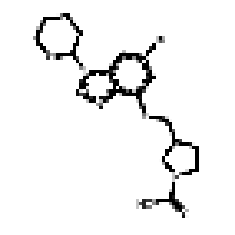 O=C(O)N1CCC(COc2cc(Br)cc3c2nnn3C2CCCCO2)C1